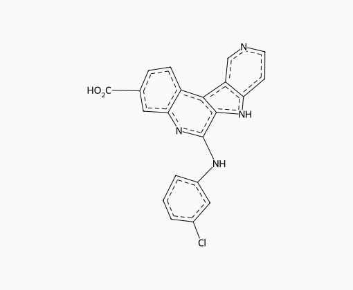 O=C(O)c1ccc2c(c1)nc(Nc1cccc(Cl)c1)c1[nH]c3ccncc3c12